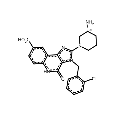 N[C@@H]1CCCN(c2nc3c4cc(C(=O)O)ccc4[nH]c(=O)c3n2Cc2ccccc2Cl)C1